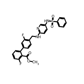 COC(=O)c1c(F)cccc1-c1ccc(CNc2ccc(NS(=O)(=O)c3ccccc3)cn2)c(F)c1